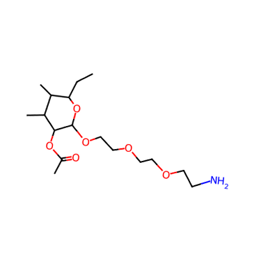 CCC1OC(OCCOCCOCCN)C(OC(C)=O)C(C)C1C